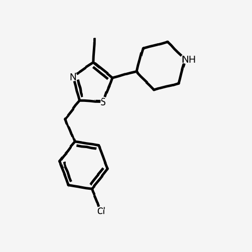 Cc1nc(Cc2ccc(Cl)cc2)sc1C1CCNCC1